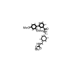 COc1ccc(-c2cc(C(=O)NC[C@H]3CC[C@H](CNC(=O)OC(C)(C)C)CC3)ccn2)c(OC)c1